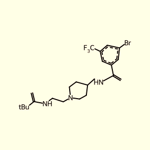 C=C(NCC1CCN(CCNC(=C)C(C)(C)C)CC1)c1cc(Br)cc(C(F)(F)F)c1